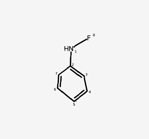 FNc1cc[c]cc1